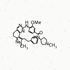 COc1cc(C(=O)NC2CCN(C)CC2)ccc1Nc1ncc2c(n1)-c1c(nn(C)c1CCc1ccccc1)CC2